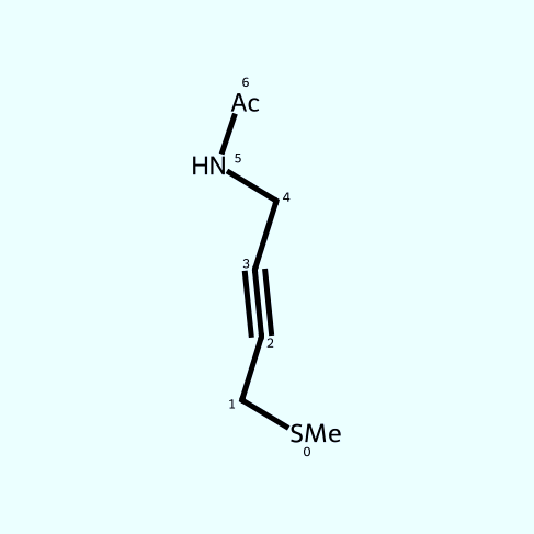 CSCC#CCNC(C)=O